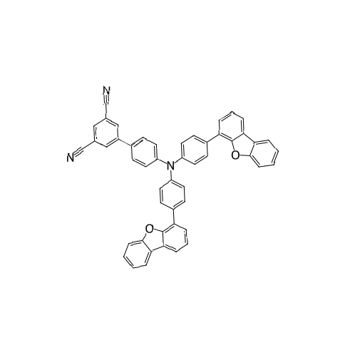 N#Cc1cc(C#N)cc(-c2ccc(N(c3ccc(-c4cccc5c4oc4ccccc45)cc3)c3ccc(-c4cccc5c4oc4ccccc45)cc3)cc2)c1